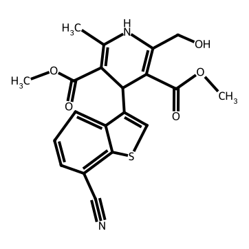 COC(=O)C1=C(C)NC(CO)=C(C(=O)OC)C1c1csc2c(C#N)cccc12